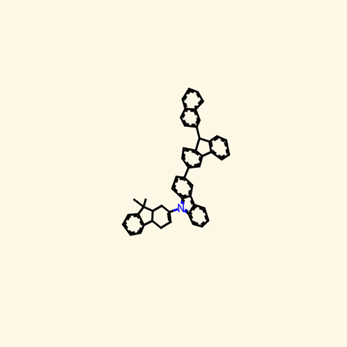 CC1(C)c2ccccc2C2CC=C(n3c4ccccc4c4cc(-c5ccc6c(c5)-c5ccccc5C6c5ccc6ccccc6c5)ccc43)CC21